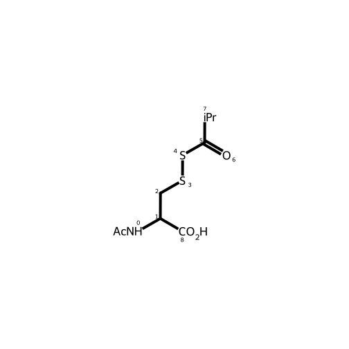 CC(=O)NC(CSSC(=O)C(C)C)C(=O)O